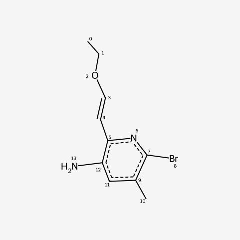 CCO/C=C/c1nc(Br)c(C)cc1N